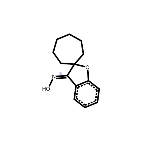 O/N=C1\c2ccccc2OC12CCCCCC2